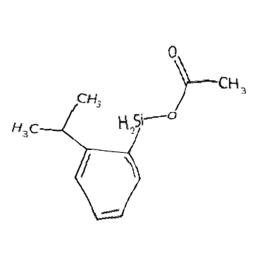 CC(=O)O[SiH2]c1ccccc1C(C)C